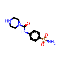 NS(=O)(=O)c1ccc(NC(=O)N2CCNCC2)cc1